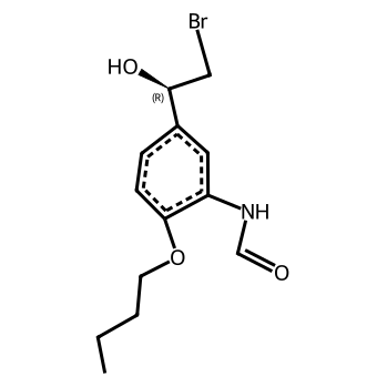 CCCCOc1ccc([C@@H](O)CBr)cc1NC=O